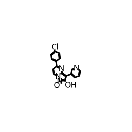 [O-][n+]1c(O)c(-c2cccnc2)c2nc(-c3ccc(Cl)cc3)ccn21